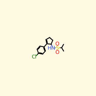 CC(C)S(=O)(=O)NC1CCC=C1c1ccc(Cl)cc1